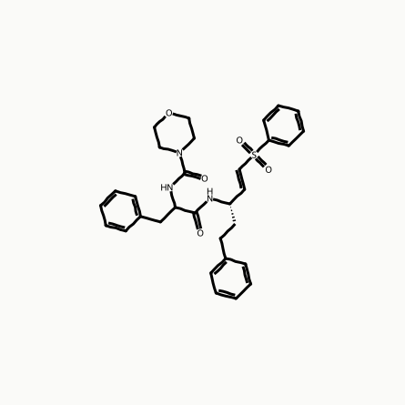 O=C(N[C@H](/C=C/S(=O)(=O)c1ccccc1)CCc1ccccc1)C(Cc1ccccc1)NC(=O)N1CCOCC1